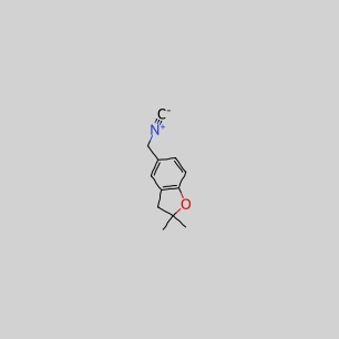 [C-]#[N+]Cc1ccc2c(c1)CC(C)(C)O2